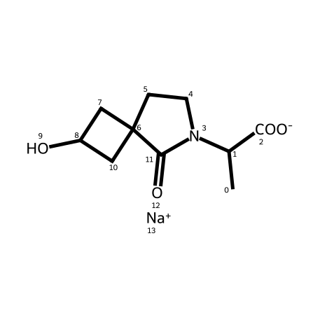 CC(C(=O)[O-])N1CCC2(CC(O)C2)C1=O.[Na+]